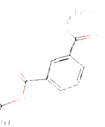 CCCCCCCOC(=O)c1cccc(C(=O)OC(C)C(C)(C)C)c1